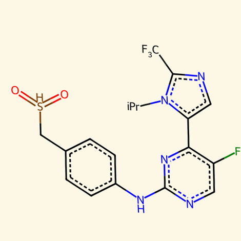 CC(C)n1c(-c2nc(Nc3ccc(C[SH](=O)=O)cc3)ncc2F)cnc1C(F)(F)F